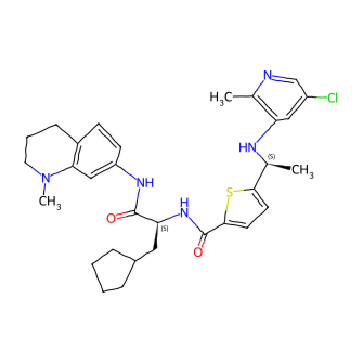 Cc1ncc(Cl)cc1N[C@@H](C)c1ccc(C(=O)N[C@@H](CC2CCCC2)C(=O)Nc2ccc3c(c2)N(C)CCC3)s1